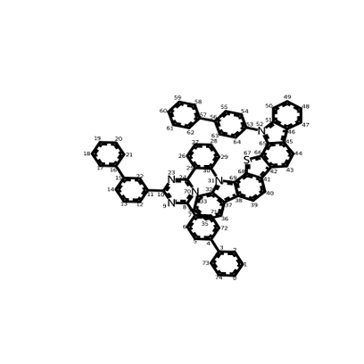 c1ccc(-c2ccc(-c3nc(-c4cccc(-c5ccccc5)c4)nc(-c4ccccc4-n4c5ccccc5c5ccc6c7ccc8c9ccccc9n(-c9ccc(-c%10ccccc%10)cc9)c8c7sc6c54)n3)cc2)cc1